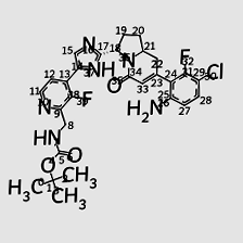 CC(C)(C)OC(=O)NCc1nccc(-c2cnc([C@@H]3CCC4CC(c5c(N)ccc(Cl)c5F)=CC(=O)N43)[nH]2)c1F